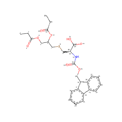 CCC(=O)OCC(CSC[C@H](NC(=O)OCC1c2ccccc2-c2ccccc21)C(=O)O)OC(=O)CC